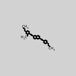 CCCCc1ccc(C#Cc2ccc3cc(C#Cc4ccc(CCCC)cc4CC)ccc3c2)cc1